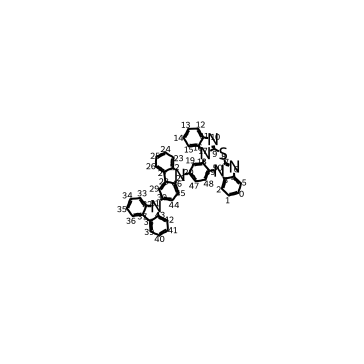 c1ccc2c(c1)nc1sc3nc4ccccc4n3c3cc(-n4c5ccccc5c5cc(-n6c7ccccc7c7ccccc76)ccc54)ccc3n12